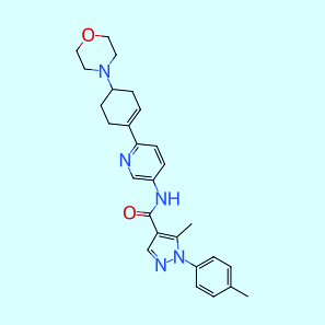 Cc1ccc(-n2ncc(C(=O)Nc3ccc(C4=CCC(N5CCOCC5)CC4)nc3)c2C)cc1